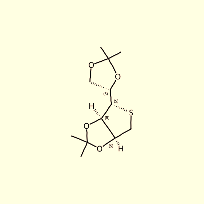 CC1(C)OC[C@@H]([C@@H]2SC[C@H]3OC(C)(C)O[C@@H]23)O1